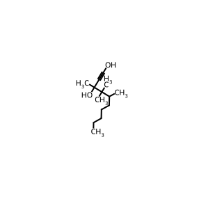 CCCCCC(C)C(C)(C)C(C)(O)C#CO